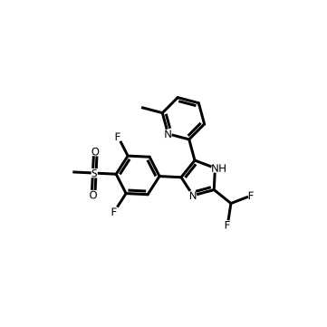 Cc1cccc(-c2[nH]c(C(F)F)nc2-c2cc(F)c(S(C)(=O)=O)c(F)c2)n1